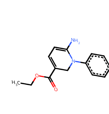 CCOC(=O)C1=CC=C(N)N(c2ccccc2)C1